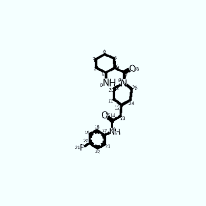 NC1CCCCC1C(=O)N1CCC(CC(=O)Nc2ccc(F)cc2)CC1